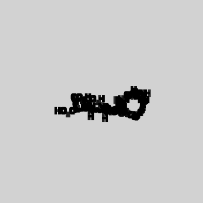 CC[C@H](C)[C@@H]1NC(=O)[C@H](CC(C)C)NC(=O)C2(CCNCC2)NC(=O)CCSCc2cccc(n2)CSC[C@@H](C(=O)NC2CCN(CC(=O)N[C@@H](CCCCNC(=O)CN3CCN(CC(=O)O)CCN(CC(=O)O)CCN(CC(=O)O)CC3)C(N)=O)CC2)NC1=O